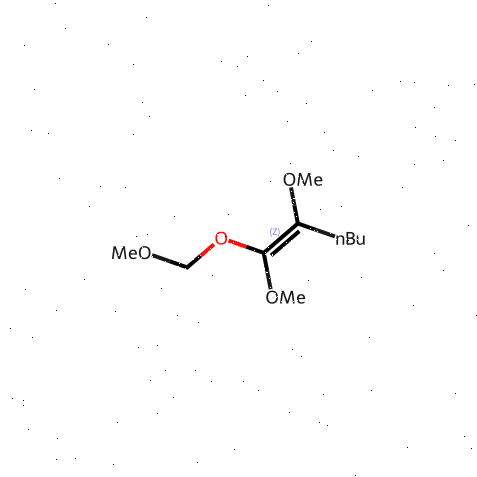 CCCC/C(OC)=C(\OC)OCOC